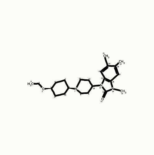 CCO[C@H]1CC[C@@H](N2CCC(n3c(=O)n(C)c4cc(C)c(C)cc43)CC2)CC1